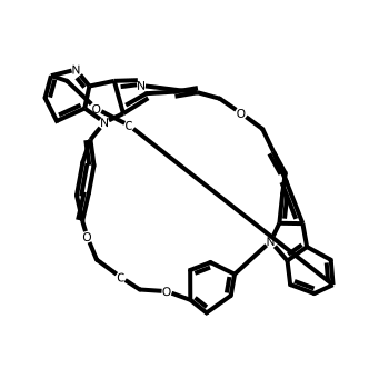 c1cc2c3cc1COCc1ccc4c(n1)c1nc5ccc1n4-c1ccc(cc1)OCCCOc1ccc(cc1)-n2c1ccc(cc31)COC5